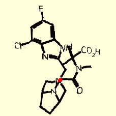 CN(C(=O)CN1C2CCC1CN(Cc1nc3c(Cl)cc(F)cc3[nH]1)C2)C(C)(C)C(=O)O